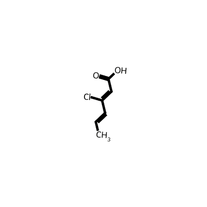 CC=CC(Cl)=CC(=O)O